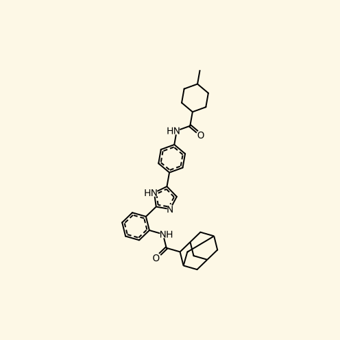 CC1CCC(C(=O)Nc2ccc(-c3cnc(-c4ccccc4NC(=O)C4C5CC6CC(C5)CC4C6)[nH]3)cc2)CC1